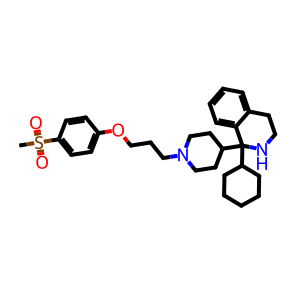 CS(=O)(=O)c1ccc(OCCCN2CCC(C3(C4CCCCC4)NCCc4ccccc43)CC2)cc1